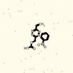 C=Cc1nnc(COC(=O)O)nn1.O=[N+]([O-])c1ccccc1